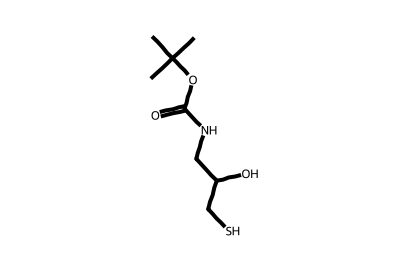 CC(C)(C)OC(=O)NCC(O)CS